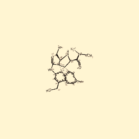 CN(C)C(=O)[C@@H]1N[C@H](CC(C)(C)C)[C@]2(C(=O)Nc3cc(CO)ccc32)[C@H]1c1cccc(Br)c1